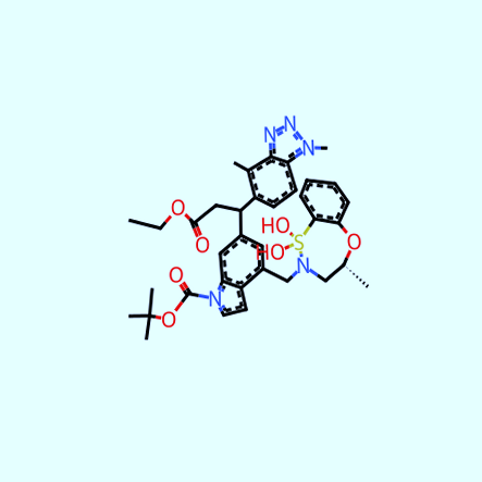 CCOC(=O)CC(c1cc(CN2C[C@@H](C)Oc3ccccc3S2(O)O)c2ccn(C(=O)OC(C)(C)C)c2c1)c1ccc2c(nnn2C)c1C